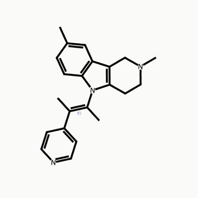 C/C(=C(/C)n1c2c(c3cc(C)ccc31)CN(C)CC2)c1ccncc1